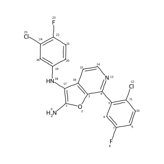 Nc1oc2c(-c3cc(F)ccc3Cl)nccc2c1Nc1ccc(F)c(Cl)c1